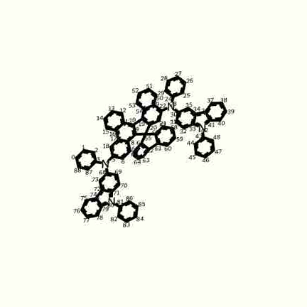 c1ccc(N(c2ccc3c4c(c5ccccc5c3c2)-c2c(cc(N(c3ccccc3)c3ccc5c(c3)c3ccccc3n5-c3ccccc3)c3ccccc23)C42c3ccccc3-c3ccccc32)c2ccc3c(c2)c2ccccc2n3-c2ccccc2)cc1